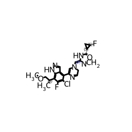 C=N/C(=C\N1C=C(c2c(Cl)c(F)c([C@H](C)COC)c3[nH]ncc23)N=CC1)NC(=O)[C@@H]1C[C@@H]1F